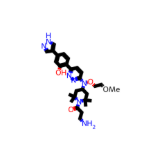 COCCON(c1ccc(-c2ccc(-c3cn[nH]c3)cc2O)nn1)C1CC(C)(C)N(C(=O)CCN)C(C)(C)C1